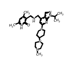 Cc1cc(C)c(CNCc2cc(N3CCC(N4CCN(C)CC4)CC3)nc3c2cnn3C(C)C)c(=O)[nH]1